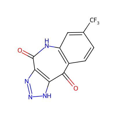 O=c1[nH]c2cc(C(F)(F)F)ccc2c(=O)c2[nH]nnc12